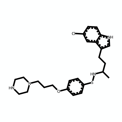 CC(CCc1c[nH]c2ccc(Cl)cc12)NSc1ccc(OCCCN2CCNCC2)cc1